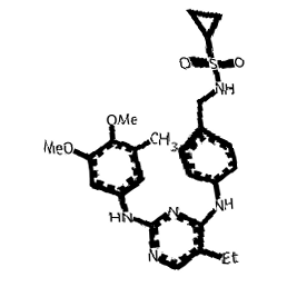 CCc1cnc(Nc2cc(C)c(OC)c(OC)c2)nc1Nc1ccc(CNS(=O)(=O)C2CC2)cc1